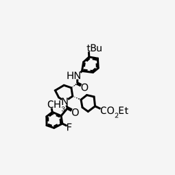 CCOC(=O)C1CCC([C@H]2[C@@H](C(=O)Nc3cccc(C(C)(C)C)c3)CCCN2C(=O)c2c(C)cccc2F)CC1